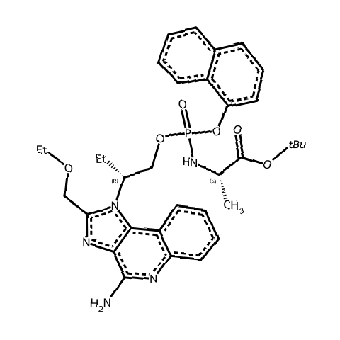 CCOCc1nc2c(N)nc3ccccc3c2n1[C@H](CC)COP(=O)(N[C@@H](C)C(=O)OC(C)(C)C)Oc1cccc2ccccc12